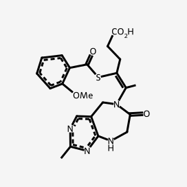 COc1ccccc1C(=O)S/C(CCC(=O)O)=C(/C)N1Cc2cnc(C)nc2NCC1=O